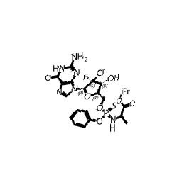 CC(C)OC(=O)C(C)NP(=S)(OC[C@H]1O[C@@H](n2cnc3c(=O)[nH]c(N)nc32)[C@@](F)(Cl)[C@@H]1O)Oc1ccccc1